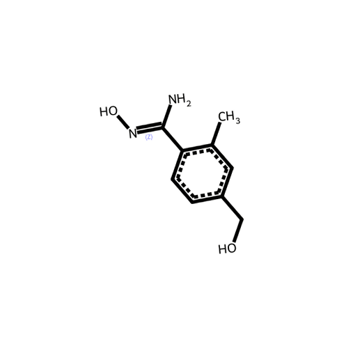 Cc1cc(CO)ccc1/C(N)=N/O